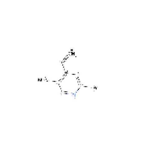 C=Cc1cc(C(C)C)ncc1NC